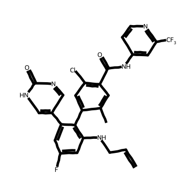 C=CCNc1cc(F)cc(-c2cnc(=O)[nH]c2)c1-c1cc(Cl)c(C(=O)Nc2ccnc(C(F)(F)F)c2)cc1C